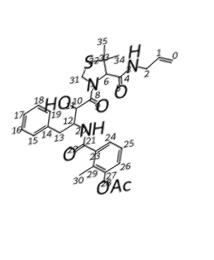 C=CCNC(=O)C1N(C(=O)C(O)C(Cc2ccccc2)NC(=O)c2cccc(OC(C)=O)c2C)CSC1(C)C